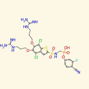 N#Cc1ccc(OP(=O)(O)CNS(=O)(=O)c2cc3c(Cl)c(OCCCNC(=N)N)c(OCCCNC(=N)N)c(Cl)c3s2)cc1F